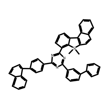 C[Si]1(C)c2ccc3ccccc3c2-c2cccc(-c3nc(-c4ccc(-c5cccc6ccccc56)cc4)nc(-c4cccc(-c5ccccc5)c4)n3)c21